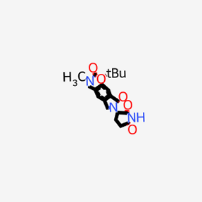 CN(Cc1ccc2c(c1)CN(C1CCC(=O)NC1=O)C2=O)C(=O)OC(C)(C)C